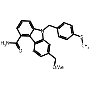 COCc1c[c]c2c3c(C(N)=O)cccc3n(Cc3ccc(SC(F)(F)F)cc3)c2c1